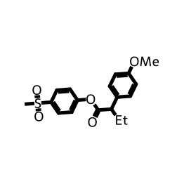 CCC(C(=O)Oc1ccc(S(C)(=O)=O)cc1)c1ccc(OC)cc1